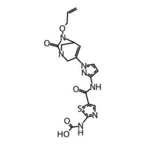 C=CCON1C(=O)N2CC(n3ccc(NC(=O)c4cnc(NC(=O)O)s4)n3)=CC1C2